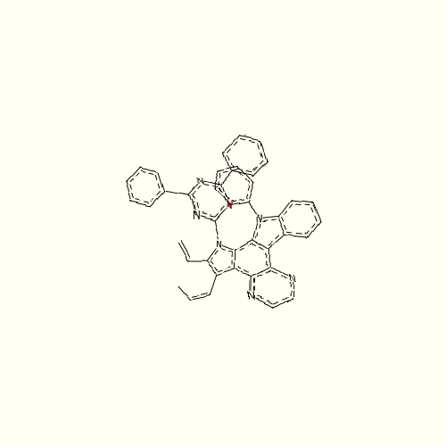 C=Cc1c(/C=C\C)c2c3nccnc3c3c4ccccc4n(-c4ccccc4)c3c2n1-c1nc(-c2ccccc2)nc(-c2ccccc2)n1